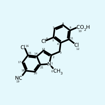 Cn1c(Cc2c(Cl)ccc(C(=O)O)c2Cl)cc2c(Cl)cc(C#N)cc21